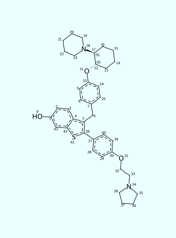 Oc1ccc2c(Cc3ccc(O[C@H]4CCCC[C@@H]4N4CCCCC4)cc3)c(-c3ccc(OCCN4CCCC4)cc3)sc2c1